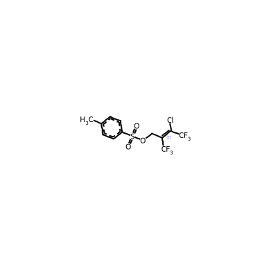 Cc1ccc(S(=O)(=O)OC/C(=C(\Cl)C(F)(F)F)C(F)(F)F)cc1